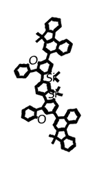 CC1(C)c2ccccc2-c2c1cc(-c1cc3c(c4c1oc1ccccc14)-c1ccc4c(c1[Si]3(C)C)[Si](C)(C)c1cc(-c3cc5c(c6ccccc36)-c3ccccc3C5(C)C)c3oc5ccccc5c3c1-4)c1ccccc21